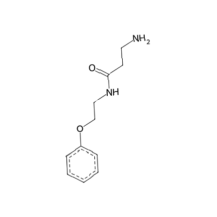 NCCC(=O)NCCOc1ccccc1